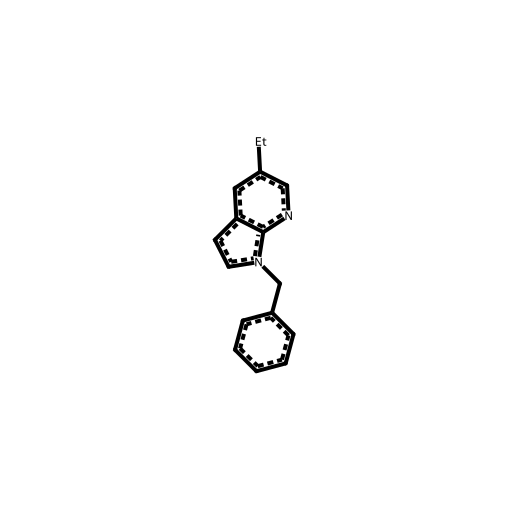 CCc1cnc2c(ccn2Cc2ccccc2)c1